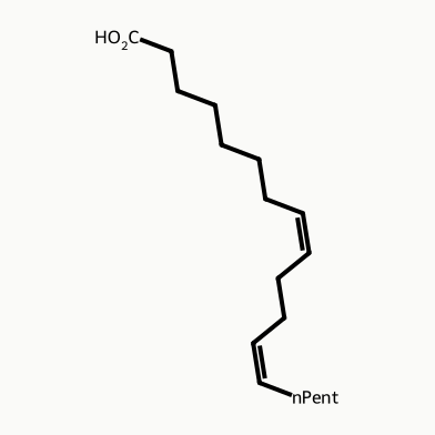 CCCCC/C=C\CC/C=C\CCCCCCC(=O)O